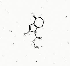 COC(=O)[SH]1C(Cl)=CC2=C1CCCC2=O